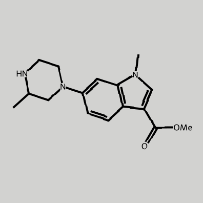 COC(=O)c1cn(C)c2cc(N3CCNC(C)C3)ccc12